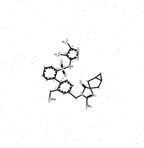 CCCCC1=NC2(CC3CC3C2)C(=O)N1Cc1ccc(-c2ccccc2S(=O)(=O)Nc2noc(C)c2C)c(COC)c1